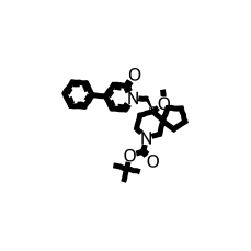 CO[C@@]1(Cn2ccc(-c3ccccc3)cc2=O)CCN(C(=O)OC(C)(C)C)CC12CCCC2